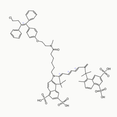 C=C(/C=C/C=C/C=C1/N(CCCCCC(=O)N(C)CCOc2ccc(/C(=C(/CCCl)c3ccccc3)c3ccccc3)cc2)c2ccc3c(S(=O)(=O)O)cc(S(=O)(=O)O)cc3c2C1(C)C)C(C)(C)c1c(C)ccc2c(S(=O)(=O)O)cc(S(=O)(=O)O)cc12